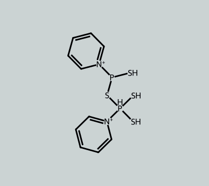 SP(S[PH](S)(S)[n+]1ccccc1)[n+]1ccccc1